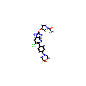 CC(C)C(=O)N1CCC(Oc2nc3nc(-c4ccc(N5CCOCC5)cc4)c(Cl)cc3[nH]2)C1